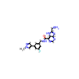 Cn1cc(-c2cc(F)cc(CNC(=O)c3ncnc4nc(CN)[nH]c34)c2)cn1